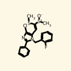 CS/C(=C\c1c(Cl)nc(-c2ccccc2)n1Cc1ccccc1F)[S+](C)[O-]